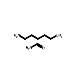 CCCCCCN.NC=O